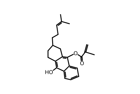 C=C(C)C(=O)Oc1c2c(c(O)c3ccccc13)CCC(CCC=C(C)C)C2